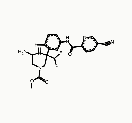 COC(=O)N1CC(N)NC(c2cc(NC(=O)c3ccc(C#N)cn3)ccc2F)(C(F)F)C1